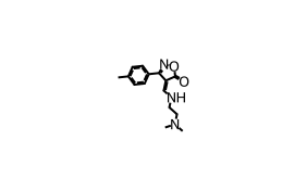 Cc1ccc(C2=NOC(=O)C2=CNCCN(C)C)cc1